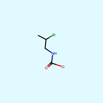 CC(Br)CNC([O])=O